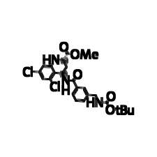 COC(=O)[C@@H]1C[C@@H](NC(=O)c2cccc(CNC(=O)OC(C)(C)C)c2)c2c(Cl)cc(Cl)cc2N1